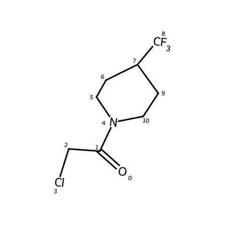 O=C(CCl)N1CCC(C(F)(F)F)CC1